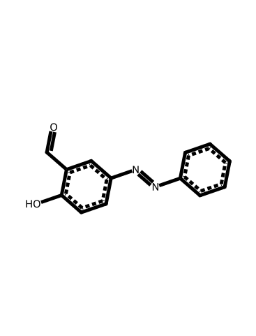 O=Cc1cc(/N=N/c2ccccc2)ccc1O